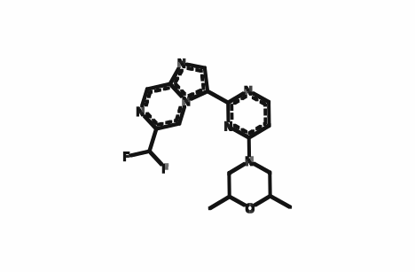 CC1CN(c2ccnc(-c3cnc4cnc(C(F)F)cn34)n2)CC(C)O1